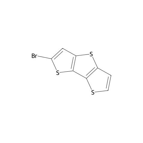 Brc1cc2sc3ccsc3c2s1